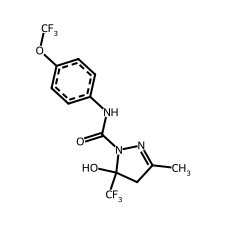 CC1=NN(C(=O)Nc2ccc(OC(F)(F)F)cc2)C(O)(C(F)(F)F)C1